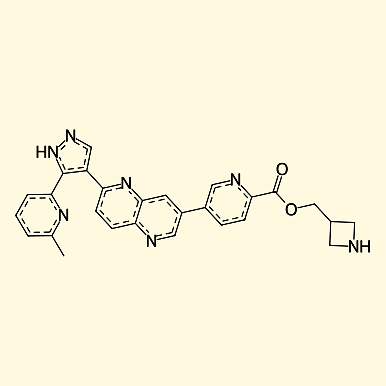 Cc1cccc(-c2[nH]ncc2-c2ccc3ncc(-c4ccc(C(=O)OCC5CNC5)nc4)cc3n2)n1